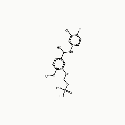 COc1ccc(C(O)Nc2ccc(Cl)c(Cl)c2)cc1NCOP(=O)(O)O